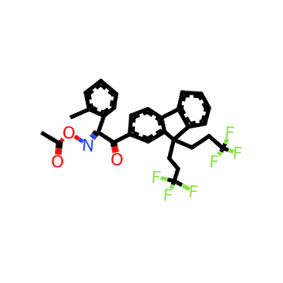 CC(=O)O/N=C(/C(=O)c1ccc2c(c1)C(CCC(F)(F)F)(CCC(F)(F)F)c1ccccc1-2)c1ccccc1C